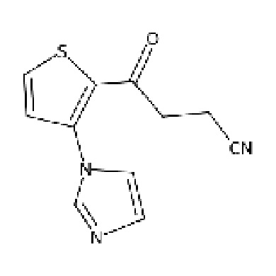 N#CCCC(=O)c1sccc1-n1ccnc1